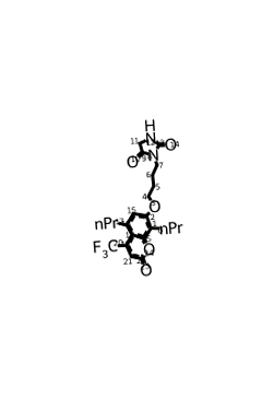 CCCc1c(OCCCCN2C(=O)CNC2=O)cc(CCC)c2c(C(F)(F)F)cc(=O)oc12